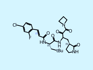 CC(C)(C)C[C@H](NC(=O)/C=C/c1ccc(Cl)cc1F)C(=O)NC(C[C@@H]1CCNC1=O)C(=O)C(=O)N1CCC1